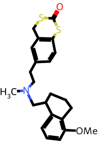 COc1cccc2c1CCCC2CN(C)CCc1ccc2c(c1)CSC(=O)S2